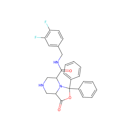 O=C(NCc1ccc(F)c(F)c1)C1CNCC2C(=O)OC(c3ccccc3)(c3ccccc3)N12